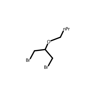 CCCCOC(CBr)CBr